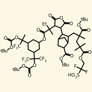 CCC(C)(C(=O)OC1CC(C(C)(OC(=O)OC(C)(C)C)C(F)(F)F)CC(C(OC(=O)OC(C)(C)C)(C(F)(F)F)C(F)(F)F)C1)C1C(=O)OC(=O)C1C1C2CC(C(=O)OC(C)(C)C)C(C2)C1CC(C)(CC(C)(C)C(=O)OCC(F)(F)S(=O)(=O)O)C(=O)OC(C)(C)C